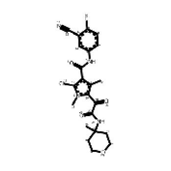 Cc1c(C(=O)Nc2ccc(F)c(C#N)c2)c(Cl)n(C)c1C(=O)C(=O)NC1(C)CCOCC1